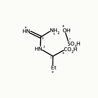 CCC(NC(=N)N)C(=O)O.O=S(=O)(O)O